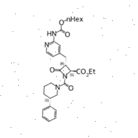 CCCCCCOC(=O)Nc1cc(C[C@H]2C(=O)N(C(=O)N3CCC[C@@H](c4ccccc4)C3)[C@@H]2C(=O)OCC)ccn1